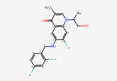 CC(C)(C)C(CO)n1cc(C(=O)O)c(=O)c2cc(NCc3ccc(F)cc3F)c(F)cc21